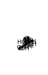 C=C(C)C(=O)OCC(O)COCC(O)C(OCC(O)COC(=O)C(=C)C)C(O)C(COCC(O)COC(=O)C(=C)C)OCC(O)COC(=O)C(=C)C